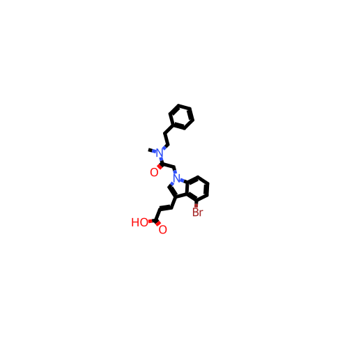 CN(CCc1ccccc1)C(=O)Cn1cc(/C=C/C(=O)O)c2c(Br)cccc21